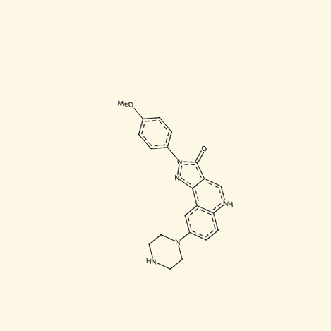 COc1ccc(-n2nc3c4cc(N5CCNCC5)ccc4[nH]cc-3c2=O)cc1